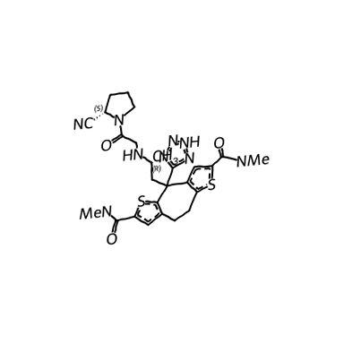 CNC(=O)c1cc2c(s1)CCc1cc(C(=O)NC)sc1C2(C[C@@H](C)NCC(=O)N1CCC[C@H]1C#N)c1nn[nH]n1